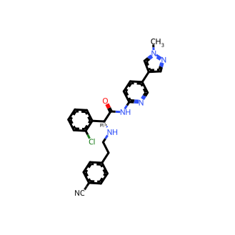 Cn1cc(-c2ccc(NC(=O)[C@H](NCCc3ccc(C#N)cc3)c3ccccc3Cl)nc2)cn1